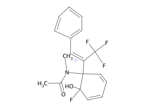 CC(=O)N(C)C1(/C(=C/c2ccccc2)C(F)(F)F)C=CC=CC1(O)F